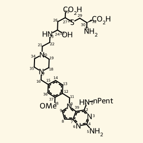 CCCCCNc1nc(N)nc2ccn(Cc3ccc(CN4CCN(CCNC(O)CC(SC[C@H](N)C(=O)O)C(=O)O)CC4)cc3OC)c12